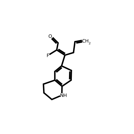 C=CCC(=C(F)C=O)c1ccc2c(c1)CCCN2